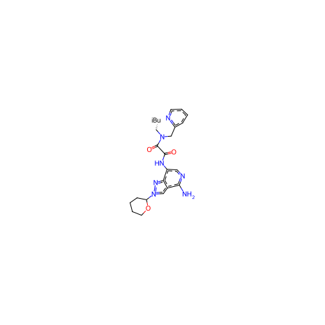 CC[C@@H](C)CN(Cc1ccccn1)C(=O)C(=O)Nc1cnc(N)c2cn(C3CCCCO3)nc12